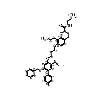 [CH2]CCNC(=O)C1CCc2ccc(OCCCOc3cc(OCc4ccccc4)c(-c4ccc(F)cc4)cc3CC)c(CCC)c2O1